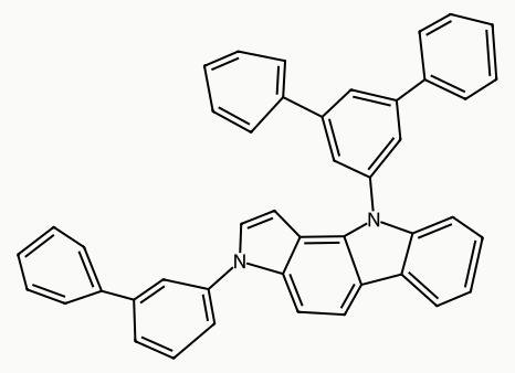 c1ccc(-c2cccc(-n3ccc4c3ccc3c5ccccc5n(-c5cc(-c6ccccc6)cc(-c6ccccc6)c5)c34)c2)cc1